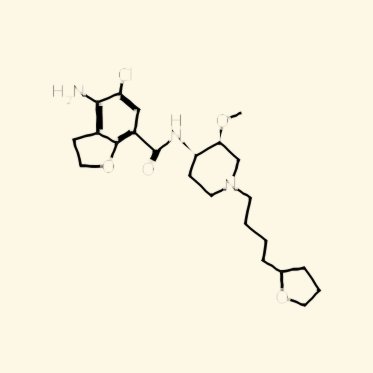 CO[C@H]1CN(CCCCC2CCCO2)CC[C@H]1NC(=O)c1cc(Cl)c(N)c2c1OCC2